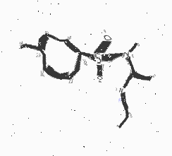 C=C(/N=C/C)N(C)S(=O)(=O)c1ccc(C)cc1